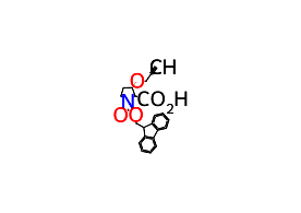 C#CCO[C@H]1CCN(C(=O)OCC2c3ccccc3-c3ccccc32)[C@@H]1C(=O)O